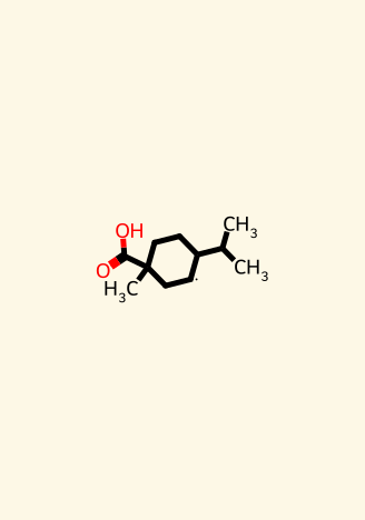 CC(C)C1[CH]CC(C)(C(=O)O)CC1